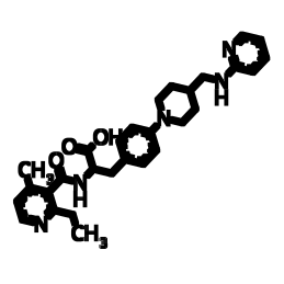 CCc1nccc(C)c1C(=O)NC(Cc1ccc(N2CCC(CNc3ccccn3)CC2)cc1)C(=O)O